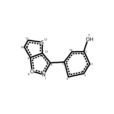 Oc1cccc(-c2noc3ccsc23)c1